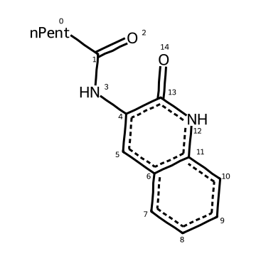 CCCCCC(=O)Nc1cc2ccccc2[nH]c1=O